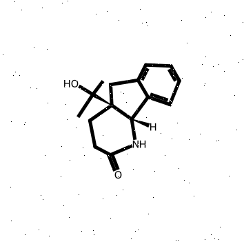 CC(C)(O)[C@]12CCC(=O)N[C@H]1c1ccccc1C2